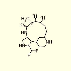 [2H]C1CCC2CC(CCN2)C2C(CNN2C(F)F)NC(=O)[C@H](C)C1[2H]